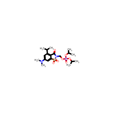 CC(C)OP(=O)(OCN1C(=O)c2c(C(C)C)cc(N(C)C)cc2S1(=O)=O)OC(C)C